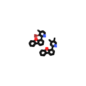 Cc1ccnc(-c2cccc3c2oc2ccccc23)c1Br.Cc1cnc(-c2cccc3c2oc2ccccc23)cc1C